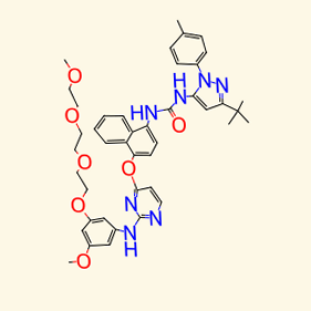 COCCOCCOCCOc1cc(Nc2nccc(Oc3ccc(NC(=O)Nc4cc(C(C)(C)C)nn4-c4ccc(C)cc4)c4ccccc34)n2)cc(OC)c1